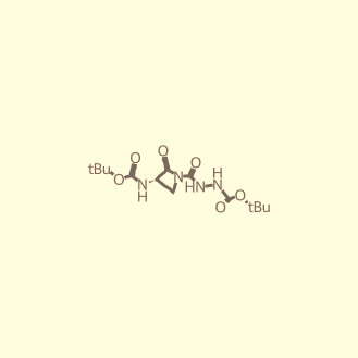 CC(C)(C)OC(=O)NNC(=O)N1C[C@H](NC(=O)OC(C)(C)C)C1=O